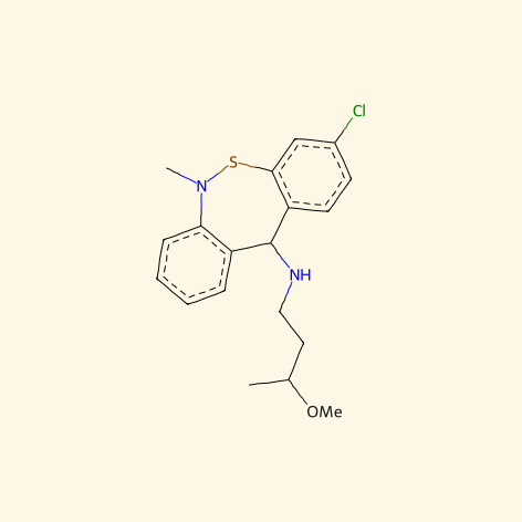 COC(C)CCNC1c2ccc(Cl)cc2SN(C)c2ccccc21